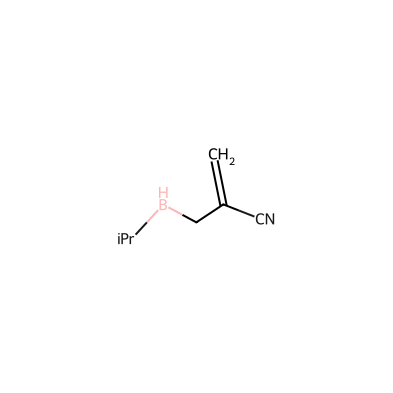 C=C(C#N)CBC(C)C